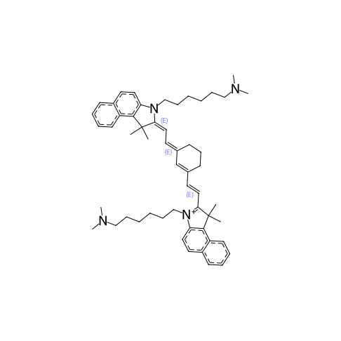 CN(C)CCCCCCN1/C(=C/C=C2C=C(/C=C/C3=[N+](CCCCCCN(C)C)c4ccc5ccccc5c4C3(C)C)CCC/2)C(C)(C)c2c1ccc1ccccc21